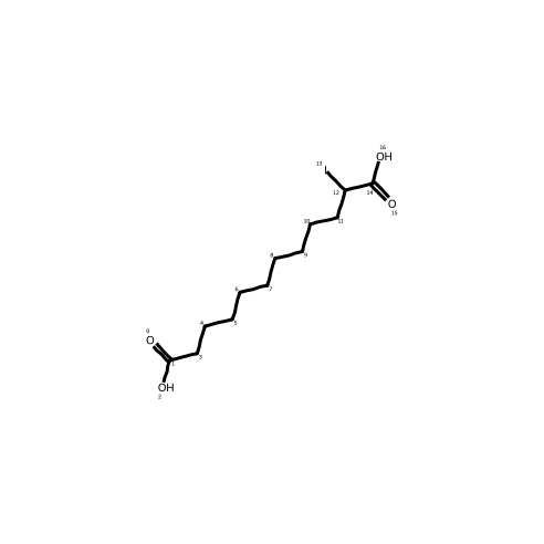 O=C(O)CCCCCCCCCC(I)C(=O)O